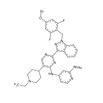 CCOc1cc(F)c(Cn2nc(-c3ncc(C4CCN(CC(F)(F)F)CC4)c(Nc4ccnc(NC(C)=O)c4)n3)c3ccccc32)c(F)c1